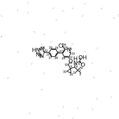 CC(C)(C)C(NC(=O)O)C1(COc2cnc(Cl)c(-c3ccc(-c4nn[nH]n4)cc3)c2)CC1